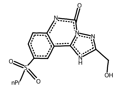 CCCS(=O)(=O)c1ccc2nc(=O)n3nc(CO)[nH]c3c2c1